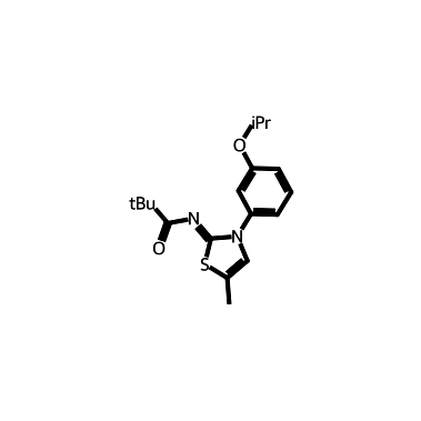 Cc1cn(-c2cccc(OC(C)C)c2)c(=NC(=O)C(C)(C)C)s1